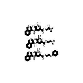 CCn1nc(C(=O)OCC(=O)N(C)C)cc(Nc2cncc3ccccc23)c1=O.CCn1nc(C(=O)OCCN(C)C)cc(Nc2cncc3ccccc23)c1=O.CCn1nc(C(=O)OCCOc2ccccc2)cc(Nc2cncc3ccccc23)c1=O